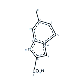 Cc1ccn2cc(C(=O)O)nc2c1